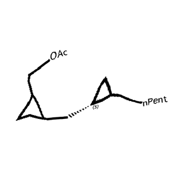 CCCCCC1C[C@H]1CC1CC1COC(C)=O